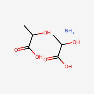 CC(O)C(=O)O.CC(O)C(=O)O.N